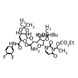 CCOC(=O)OC(C)n1c(=O)ccn([C@@H]2O[C@H]([C@@H](O[C@H]3OC(C(=O)Nc4ccc(F)c(F)c4)=C[C@@H]4OC(C)(C)O[C@H]34)C(N)=O)[C@@H](OC)[C@H]2O[Si](C)(C)C(C)(C)C)c1=O